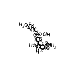 CN1CCN(C=CCS(=O)(=O)c2ccc(-c3c(O)[nH]c4ccc(S(N)(=O)=O)cc34)nc2)CC1.Cl